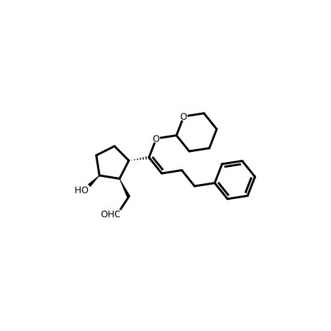 O=CC[C@@H]1[C@@H](C(=CCCc2ccccc2)OC2CCCCO2)CC[C@@H]1O